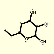 CCC1CC(O)C(O)C(O)O1